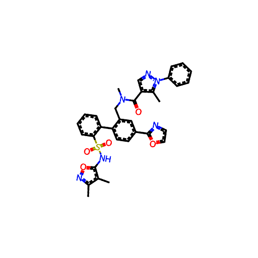 Cc1noc(NS(=O)(=O)c2ccccc2-c2ccc(-c3ncco3)cc2CN(C)C(=O)c2cnn(-c3ccccc3)c2C)c1C